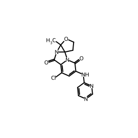 CC12OCCC13N2C(=O)c1c(Cl)cc(Nc2ccncn2)c(=O)n13